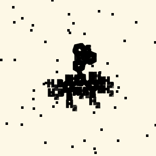 Bc1c(B)c(B)c(-c2cc(-c3ccc([N+](=O)[O-])c(-c4cccc5sc6ccccc6c45)c3)cc(-c3c(B)c(B)c(B)c(B)c3B)c2)c(B)c1B